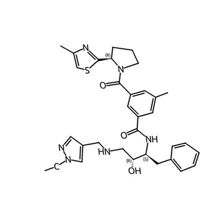 CCn1cc(CNC[C@@H](O)[C@H](Cc2ccccc2)NC(=O)c2cc(C)cc(C(=O)N3CCC[C@@H]3c3nc(C)cs3)c2)cn1